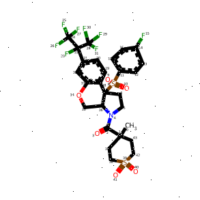 CC1(C(=O)N2CCC3(S(=O)(=O)c4ccc(F)cc4)c4ccc(C(F)(C(F)(F)F)C(F)(F)F)cc4OCC23)CCS(=O)(=O)CC1